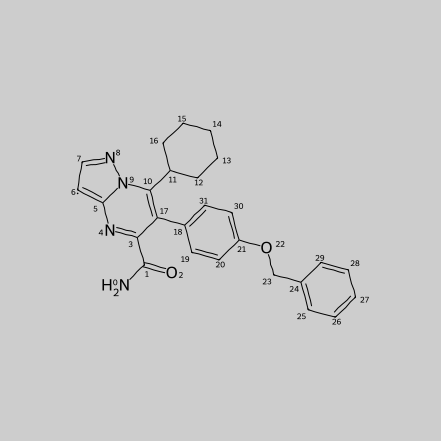 NC(=O)c1nc2[c]cnn2c(C2CCCCC2)c1-c1ccc(OCc2ccccc2)cc1